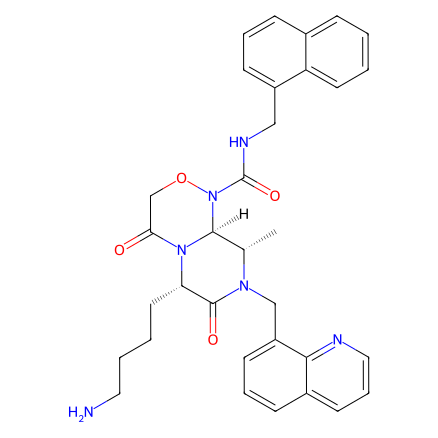 C[C@H]1[C@@H]2N(C(=O)NCc3cccc4ccccc34)OCC(=O)N2[C@@H](CCCCN)C(=O)N1Cc1cccc2cccnc12